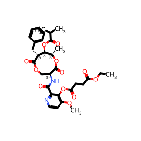 CCOC(=O)CCC(=O)Oc1c(OC)ccnc1C(=O)N[C@H]1COC(=O)[C@H](Cc2ccccc2)[C@@H](OC(=O)C(C)C)[C@H](C)OC1=O